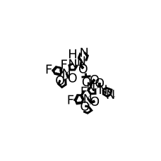 CN1CCN(C(=O)[C@@H]2C[C@H](N(C(=O)[C@@H]3CCCO3)c3ccc(F)cc3F)CN2)CC1.CN1CCN(C(=O)[C@@H]2C[C@H](N(C(=O)[C@@H]3CCCO3)c3ccc(F)cc3F)CN2C(=O)OC(C)(C)C)CC1